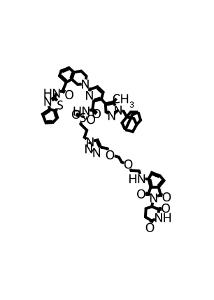 Cc1c(-c2ccc(N3CCc4cccc(C(=O)Nc5nc6ccccc6s5)c4C3)nc2C(=O)NS(=O)(=O)CCCn2cc(COCCOCCNc3cccc4c3C(=O)N(C3CCC(=O)NC3=O)C4=O)nn2)cnn1CC12CC3CC(CC(C3)C1)C2